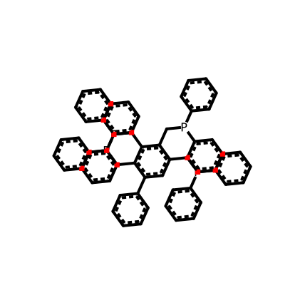 c1ccc(-c2cc(CP(c3ccccc3)c3ccccc3)c(CP(c3ccccc3)c3ccccc3)c(CP(c3ccccc3)c3ccccc3)c2CP(c2ccccc2)c2ccccc2)cc1